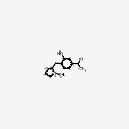 CC(Cl)c1ccc(Cc2nccn2C)c(O)c1